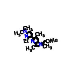 CCc1nc(N(C)C)ccc1-c1nc2c(C)cn([C@@H](C)COC)c2cc1C